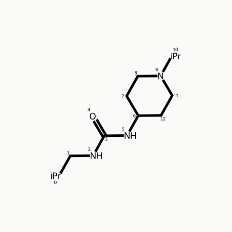 CC(C)CNC(=O)NC1CCN(C(C)C)CC1